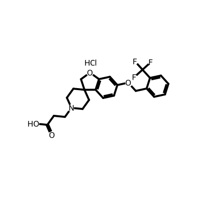 Cl.O=C(O)CCN1CCC2(CC1)COc1cc(OCc3ccccc3C(F)(F)F)ccc12